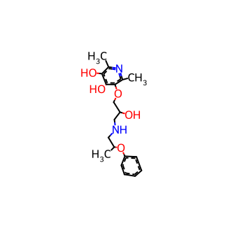 Cc1nc(C)c(OCC(O)CNCC(C)Oc2ccccc2)c(O)c1O